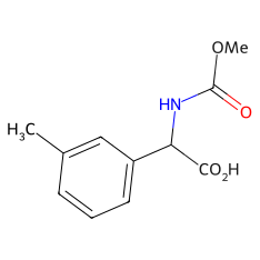 COC(=O)NC(C(=O)O)c1cccc(C)c1